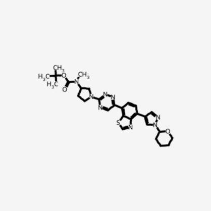 CN(C(=O)OC(C)(C)C)C1CCN(c2ncc(-c3ccc(-c4cnn(C5CCCCO5)c4)c4ncsc34)nn2)C1